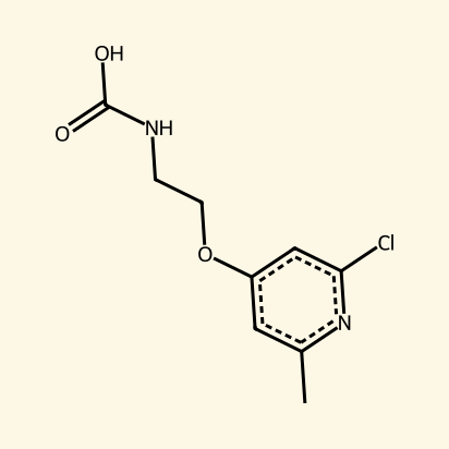 Cc1cc(OCCNC(=O)O)cc(Cl)n1